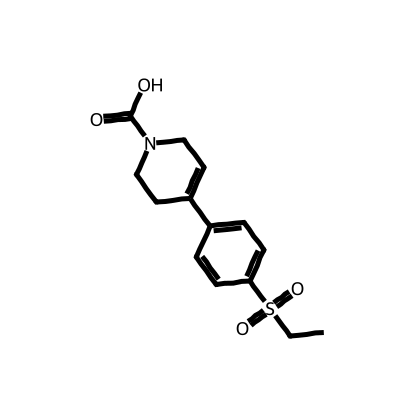 CCS(=O)(=O)c1ccc(C2=CCN(C(=O)O)CC2)cc1